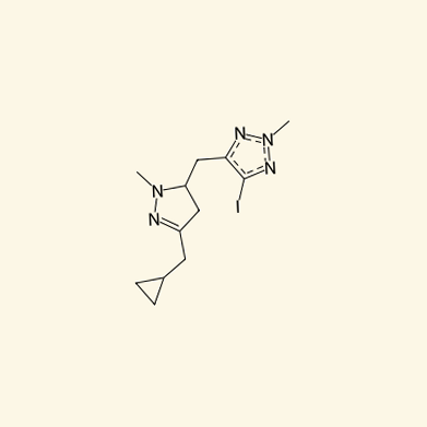 CN1N=C(CC2CC2)CC1Cc1nn(C)nc1I